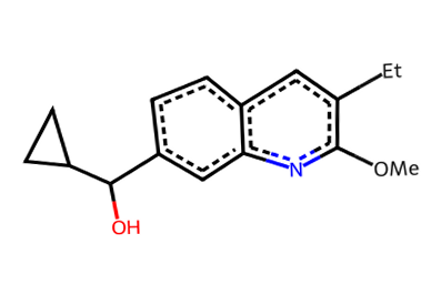 CCc1cc2ccc(C(O)C3CC3)cc2nc1OC